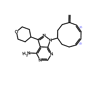 C=C1/C=C\C=C/CCC(n2nc(C3CCOCC3)c3c(N)ncnc32)CC1